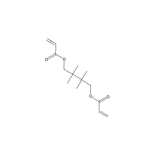 C=CC(=O)OCC(C)(C)C(C)(C)COC(=O)C=C